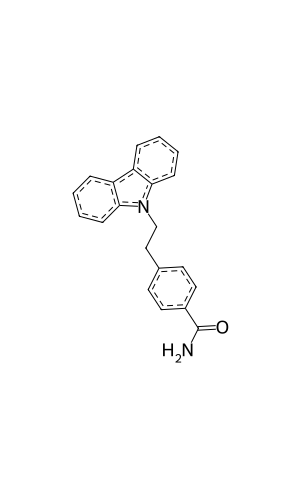 NC(=O)c1ccc(CCn2c3ccccc3c3ccccc32)cc1